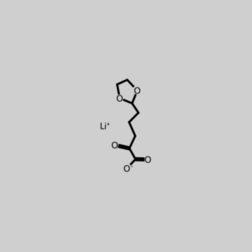 O=C([O-])C(=O)CCCC1OCCO1.[Li+]